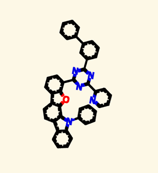 c1ccc(-c2cccc(-c3nc(-c4ccccn4)nc(-c4cccc5c4oc4c5ccc5c6ccccc6n(-c6ccccc6)c54)n3)c2)cc1